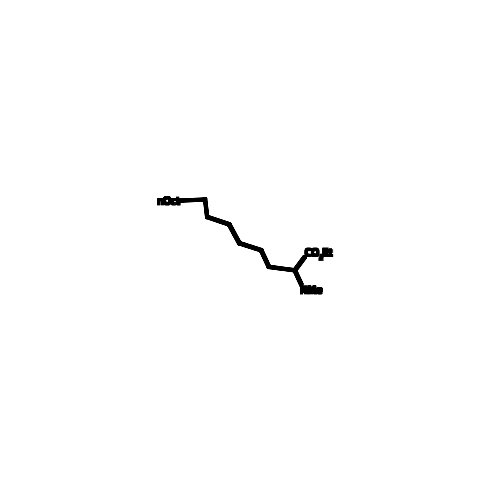 CCCCCCCCCCCCCCC(NC)C(=O)OCC